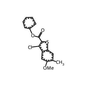 COc1cc2c(Cl)c(C(=O)Oc3ccccc3)sc2cc1C